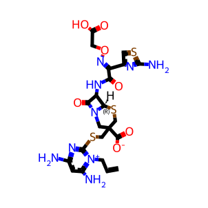 C=CC[n+]1c(N)cc(N)nc1SCC1(C(=O)[O-])CS[C@@H]2C(NC(=O)C(=NOCC(=O)O)c3csc(N)n3)C(=O)N2C1